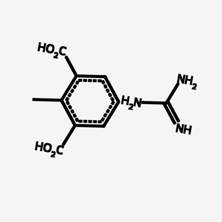 Cc1c(C(=O)O)cccc1C(=O)O.N=C(N)N